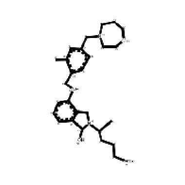 CNCCCC(C)N1Cc2c(NCc3ccc(CN4CCCOCC4)cc3C)cccc2C1O